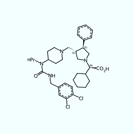 CCCN(C(=O)NCc1ccc(Cl)c(Cl)c1)C1CCN(C[C@H]2CN([C@@H](C(=O)O)C3CCCCC3)C[C@@H]2c2ccccc2)CC1